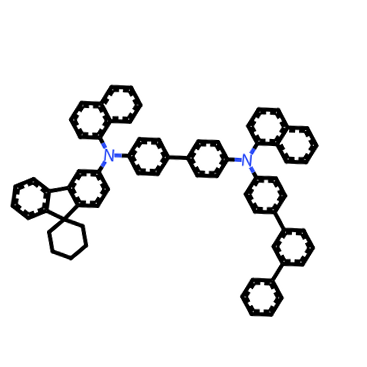 c1ccc(-c2cccc(-c3ccc(N(c4ccc(-c5ccc(N(c6ccc7c(c6)-c6ccccc6C76CCCCC6)c6cccc7ccccc67)cc5)cc4)c4cccc5ccccc45)cc3)c2)cc1